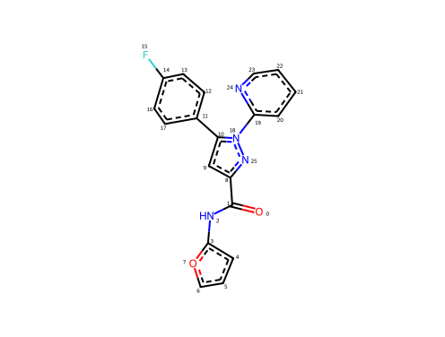 O=C(Nc1ccco1)c1cc(-c2ccc(F)cc2)n(-c2ccccn2)n1